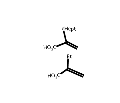 C=C(CC)C(=O)O.C=C(CCCCCCC)C(=O)O